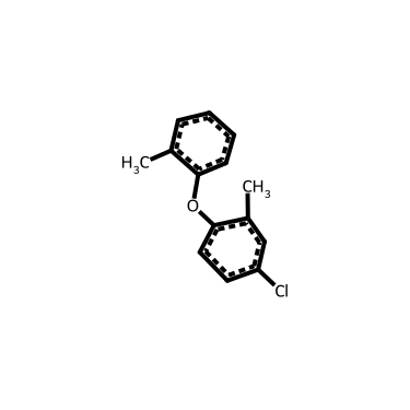 Cc1ccccc1Oc1ccc(Cl)cc1C